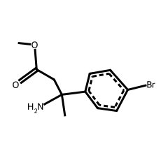 COC(=O)CC(C)(N)c1ccc(Br)cc1